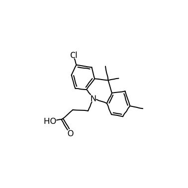 Cc1ccc2c(c1)C(C)(C)c1cc(Cl)ccc1N2CCC(=O)O